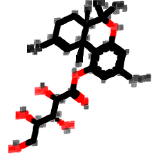 CCCCCc1cc(OC(=O)[C@H](O)[C@H](O)[C@H](O)CO)c2c(c1)OC(C)(C)[C@@H]1CCC(C)=C[C@@H]21